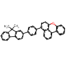 CC1(C)c2ccccc2-c2ccc(-c3ccc(-c4ccc5c6c(cccc46)-c4ccccc4O5)cc3)cc21